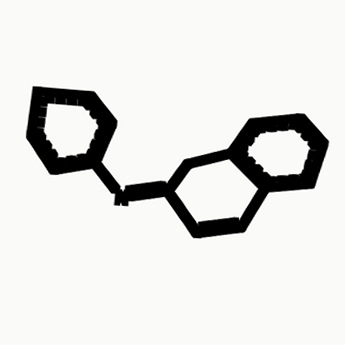 C1=Cc2ccccc2CC1=Nc1ccccc1